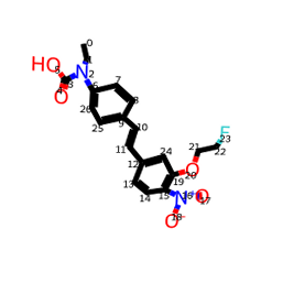 CCN(C(=O)O)c1ccc(/C=C/c2ccc([N+](=O)[O-])c(OCCF)c2)cc1